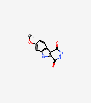 COc1ccc2c3c([nH]c2c1)C(=O)N=NC3=O